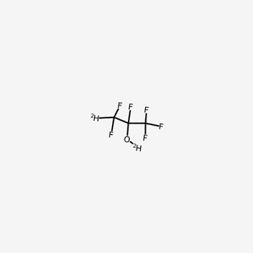 [2H]OC(F)(C([2H])(F)F)C(F)(F)F